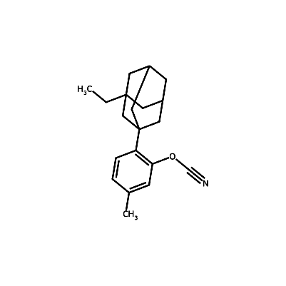 CCC12CC3CC(C1)CC(c1ccc(C)cc1OC#N)(C3)C2